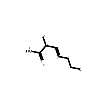 CCCC=CC(C)C(=O)O